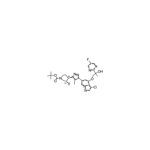 Cc1c(-c2cc(OCC(C)(O)c3ncc(F)cn3)c3c(Cl)cnn3c2)nnn1[C@@H]1CCN(C(=O)OC(C)(C)C)C[C@@H]1F